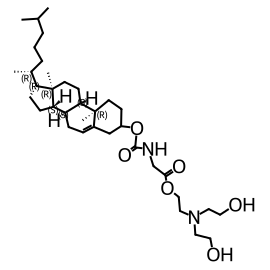 CC(C)CCC[C@@H](C)[C@H]1CC[C@H]2[C@@H]3CC=C4CC(OC(=O)NCC(=O)OCCN(CCO)CCO)CC[C@]4(C)[C@H]3CC[C@]12C